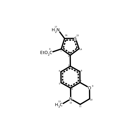 CCOC(=O)c1c(-c2ccc3c(c2)OCCN3C)csc1N